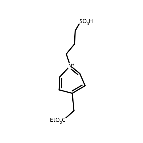 CCOC(=O)Cc1cc[n+](CCCS(=O)(=O)O)cc1